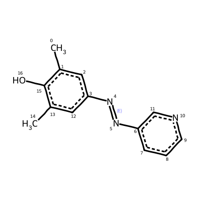 Cc1cc(/N=N/c2cccnc2)cc(C)c1O